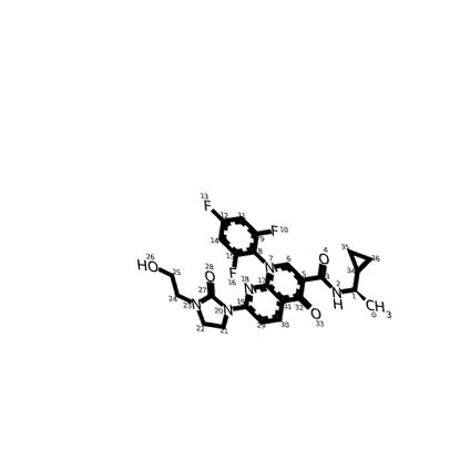 C[C@@H](NC(=O)c1cn(-c2c(F)cc(F)cc2F)c2nc(N3CCN(CCO)C3=O)ccc2c1=O)C1CC1